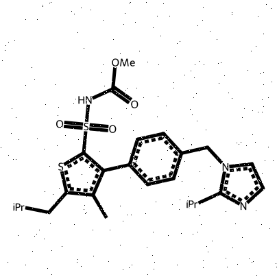 COC(=O)NS(=O)(=O)c1sc(CC(C)C)c(C)c1-c1ccc(Cn2ccnc2C(C)C)cc1